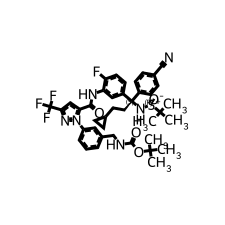 CC(C)(C)OC(=O)NCc1cccc(-n2nc(C(F)(F)F)cc2C(=O)Nc2cc([C@@](CCC3CC3)(N[S@@+]([O-])C(C)(C)C)c3ccc(C#N)cc3)ccc2F)c1